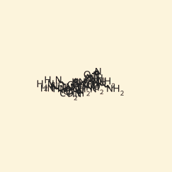 N=C(N)NCC/C=C(\NC(=O)[C@H](CCCCN)NC(=O)[C@H](Cc1cnc[nH]1)NC(=O)[C@@H]1CCCN1C(=O)[C@@H](CCCN)NC(=O)CNC(=O)[C@H](Cc1cnc[nH]1)NC(=O)[C@@H](NC(=O)[C@@H](N)CCCCN)[C@@H](O)CN)C(=O)O